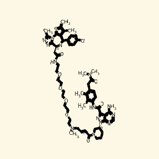 Cc1sc2c(c1C)C(c1ccc(Cl)cc1)=N[C@@H](CC(=O)NCCOCCOCCOCCOCCN(C)C/C=C/C(=O)N1CCC[C@@H](n3nc(C(=O)Nc4ccc(CC(=O)N(C)C)c(C)c4C)c4c(N)ncnc43)C1)c1nnc(C)n1-2